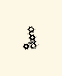 C[C@@H]1NC[C@@H](c2ccccc2)S(=O)(=O)C1Cc1ccc(CC2=CCOCC2)cc1F